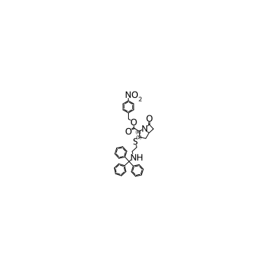 O=C(OCc1ccc([N+](=O)[O-])cc1)[C@@H]1[C@@H](SCCNC(c2ccccc2)(c2ccccc2)c2ccccc2)CC2CC(=O)N21